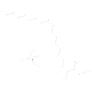 CCCCCCCC/C=C\CCCCCCCC(CC)C(N)CO.COS(=O)(=O)O